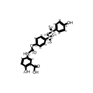 O=C(Nc1ccc(O)c(C(=O)O)c1)Oc1ccc(P2(=S)SP(=S)(c3ccc(O)cc3)S2)cc1